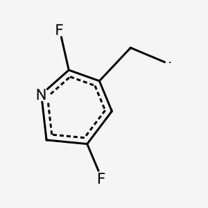 [CH2]Cc1cc(F)cnc1F